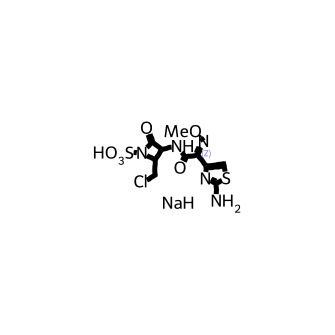 CO/N=C(\C(=O)NC1C(=O)N(S(=O)(=O)O)C1CCl)c1csc(N)n1.[NaH]